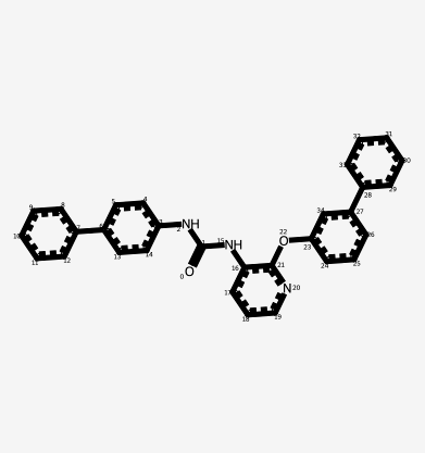 O=C(Nc1ccc(-c2ccccc2)cc1)Nc1cccnc1Oc1cccc(-c2ccccc2)c1